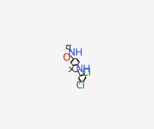 CC1(C)CC(c2cc(Cl)ccc2Cl)Nc2ccc(C(=O)NC3CCC3)cc21